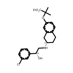 CCOC(=O)C(C)(C)Oc1ccc2c(c1)C[C@@H](NC[C@H](O)c1cccc(Cl)c1)CC2